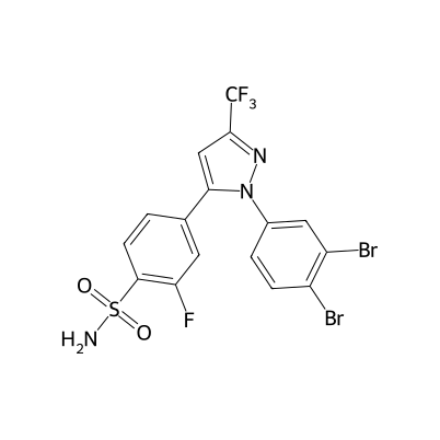 NS(=O)(=O)c1ccc(-c2cc(C(F)(F)F)nn2-c2ccc(Br)c(Br)c2)cc1F